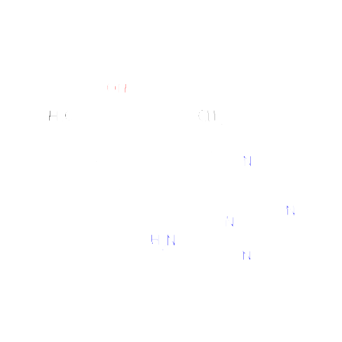 Cc1nc2ncnn2c(N)c1C[CH]C(C)(O)C1CCCC1